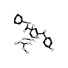 CCCC.CCOC(C)OCC.O=C(C1=CC(Cl)(C(=O)Nc2ccccc2)C=CN1)c1ccc(Cl)cc1